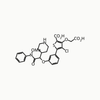 CON(C(=O)C(Oc1cccc(-c2sc(C(=O)O)c(OCC(=O)O)c2Cl)c1)C1CCNCC1)c1ccccc1